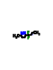 C/C=C/C(F)(F)c1ccc(C)nn1